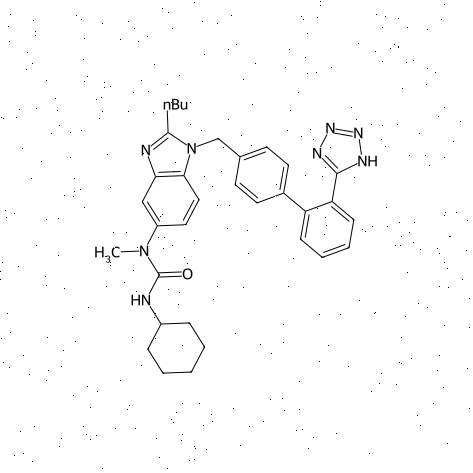 CCCCc1nc2cc(N(C)C(=O)NC3CCCCC3)ccc2n1Cc1ccc(-c2ccccc2-c2nnn[nH]2)cc1